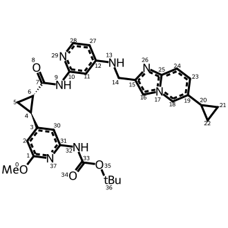 COc1cc([C@H]2C[C@@H]2C(=O)Nc2cc(NCc3cn4cc(C5CC5)ccc4n3)ccn2)cc(NC(=O)OC(C)(C)C)n1